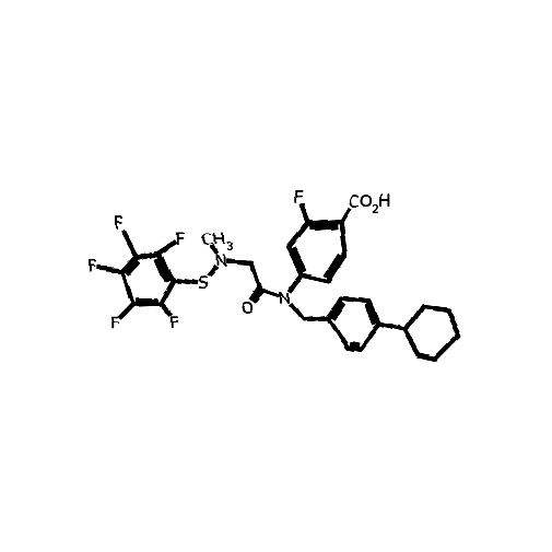 CN(CC(=O)N(Cc1ccc(C2CCCCC2)cc1)c1ccc(C(=O)O)c(F)c1)Sc1c(F)c(F)c(F)c(F)c1F